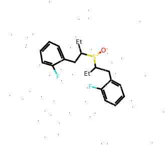 CCC(Cc1ccccc1F)[S+]([O-])C(CC)Cc1ccccc1F